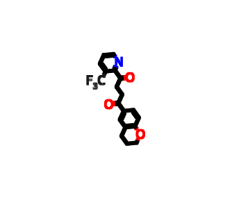 O=C(CCC(=O)c1ncccc1C(F)(F)F)c1ccc2c(c1)CCCO2